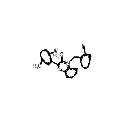 Cc1ccc(N)c(-c2nc3ccccc3n(Cc3ccccc3C#N)c2=O)c1